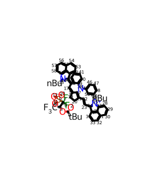 CC(C)(C)C(=O)OC(C(F)(F)F)C(F)(F)S(=O)(=O)[O-].CCCCn1/c(=C\C=C2\CCC(/C=C/C3=[N+](CCCC)c4cccc5cccc3c45)=C2N(c2ccccc2)c2ccccc2)c2cccc3cccc1c32